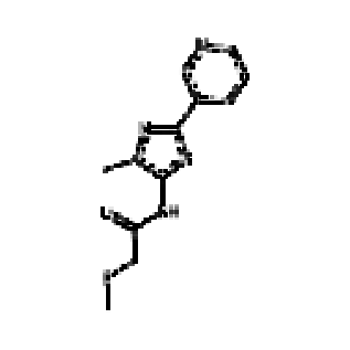 CSCC(=O)Nc1sc(-c2cccnc2)nc1C